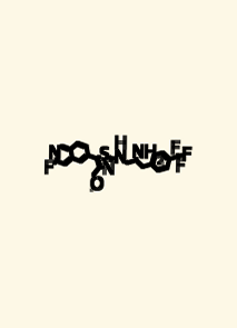 COCc1nc(NCC(N)Cc2ccc(C(F)(F)F)cc2)sc1-c1ccc2cnc(F)cc2c1